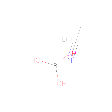 CC#N.OB(O)O.[LiH]